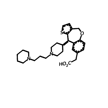 O=C(O)Cc1ccc2c(c1)C(=C1CCN(CCCN3CCCCC3)CC1)c1sccc1CO2